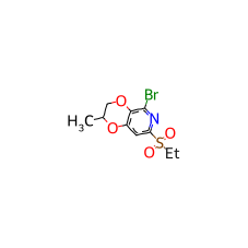 CCS(=O)(=O)c1cc2c(c(Br)n1)OCC(C)O2